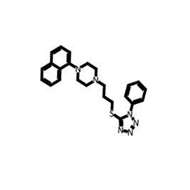 c1ccc(-n2nnnc2SCCCN2CCN(c3cccc4ccccc34)CC2)cc1